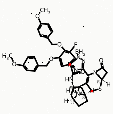 Bn1nnc(C2=C(C[N+]3(C)[C@@H]4CC[C@H]3C[C@@H](NC(=O)c3cc(F)c(OCc5ccc(OC)cc5)c(OCc5ccc(OC)cc5)c3)C4)CS[C@@H]3CC(=O)N23)n1